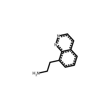 NCCc1cccc2ccnnc12